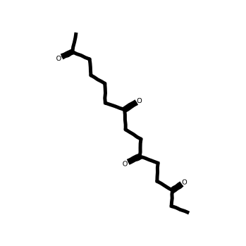 CCC(=O)CCC(=O)CCC(=O)CCCCC(C)=O